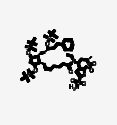 CCN(C(=O)CCC/C=C\C[C@H]1C(O[Si](C)(C)C(C)(C)C)CC(O[Si](C)(C)C(C)(C)C)[C@@H]1CC[C@@H](CCc1ccccc1)O[Si](C)(C)C(C)(C)C)[C@H]1C[C@H](C)S(=O)(=O)c2sc(S(N)(=O)=O)cc21